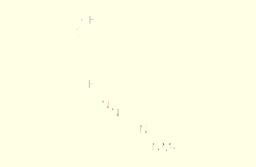 CNc1ccc(Cn2nc(C(F)=Cc3ccc(SC(F)(F)F)cc3)cc2C)cn1